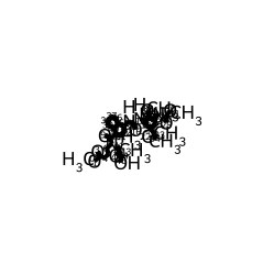 COC(=O)CC1CN(C(=O)c2ccc(NC(=O)Nc3cc(C(C)(C)C)cc(NC(=O)OC)c3OC)c3ccccc23)CC(C)(CO)O1